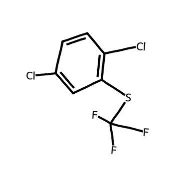 FC(F)(F)Sc1cc(Cl)ccc1Cl